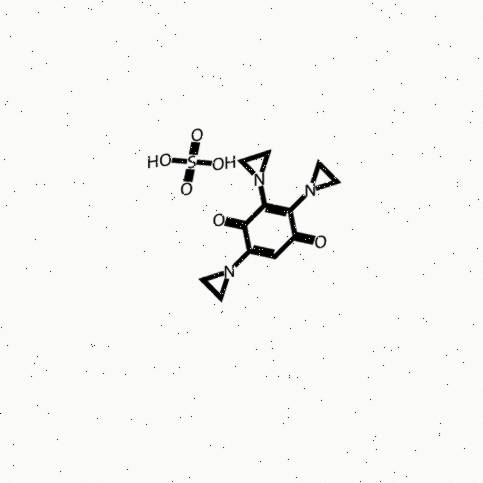 O=C1C=C(N2CC2)C(=O)C(N2CC2)=C1N1CC1.O=S(=O)(O)O